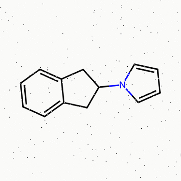 c1ccc2c(c1)CC(n1cccc1)C2